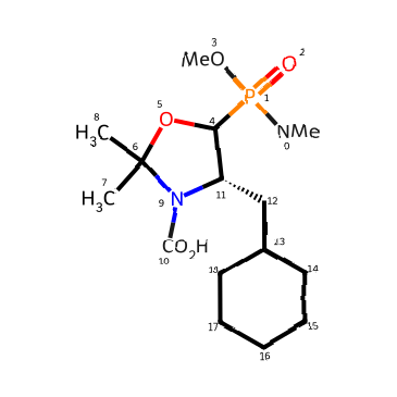 CNP(=O)(OC)C1OC(C)(C)N(C(=O)O)[C@H]1CC1CCCCC1